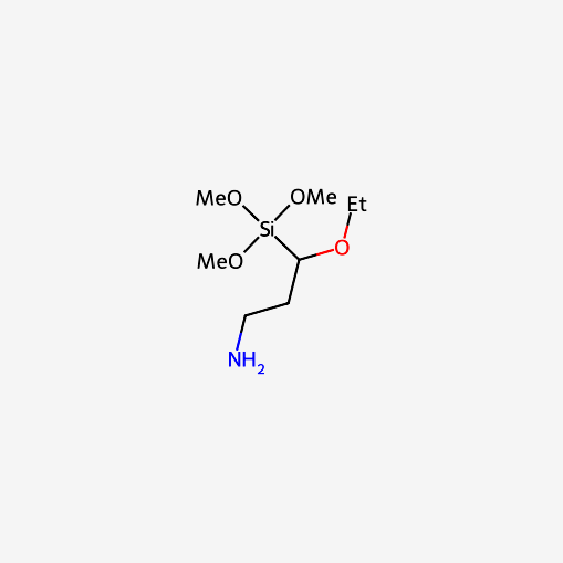 CCOC(CCN)[Si](OC)(OC)OC